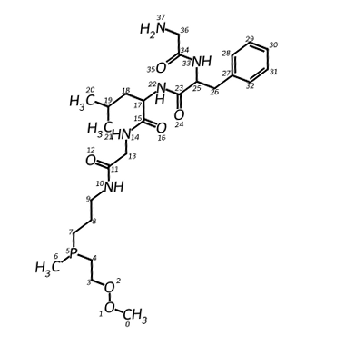 COOCCP(C)CCCNC(=O)CNC(=O)C(CC(C)C)NC(=O)C(Cc1ccccc1)NC(=O)CN